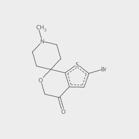 CN1CCC2(CC1)OCC(=O)c1cc(Br)sc12